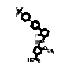 COc1cc(C(=O)O)ccc1NSc1cccc(-c2ccc([C@H]3CC[C@@H](C(F)(F)F)CC3)cc2)c1F